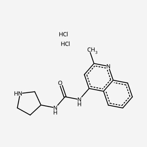 Cc1cc(NC(=O)NC2CCNC2)c2ccccc2n1.Cl.Cl